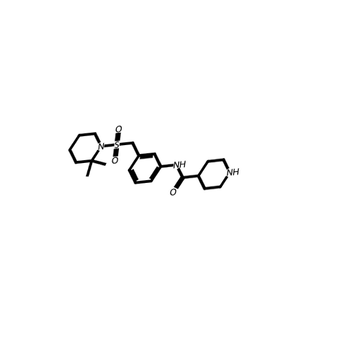 CC1(C)CCCCN1S(=O)(=O)Cc1cccc(NC(=O)C2CCNCC2)c1